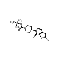 CC(C)(C)OC(=O)N1CCC(n2ccc3cc(Br)sc3c2=O)CC1